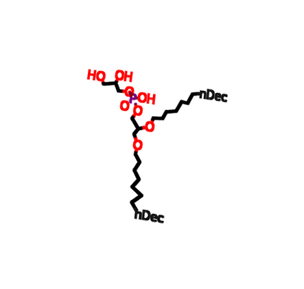 CCCCCCCCCCCCCCCCCOCC(COP(=O)(O)OCC(O)CO)OCCCCCCCCCCCCCCCCC